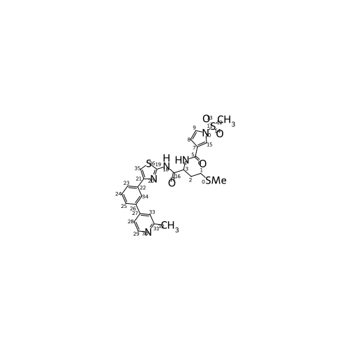 CSCCC(NC(=O)c1ccn(S(C)(=O)=O)c1)C(=O)Nc1nc(-c2cccc(-c3ccnc(C)c3)c2)cs1